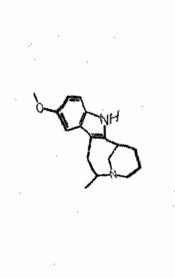 COc1ccc2[nH]c3c(c2c1)CC(C)N1CCCC3C1